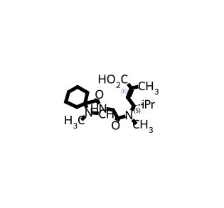 C/C(=C\[C@H](C(C)C)N(C)C(=O)CNC(=O)C1(N(C)C)CCCCC1)C(=O)O